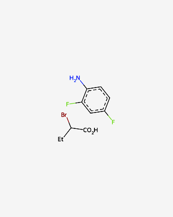 CCC(Br)C(=O)O.Nc1ccc(F)cc1F